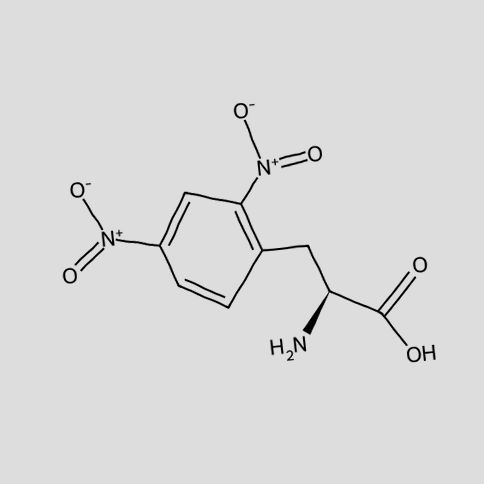 N[C@@H](Cc1ccc([N+](=O)[O-])cc1[N+](=O)[O-])C(=O)O